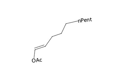 CCCCCCCC/C=C/OC(C)=O